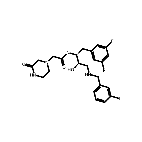 O=C1CN(CC(=O)N[C@@H](Cc2cc(F)cc(F)c2)[C@H](O)CNCc2cccc(I)c2)CCN1